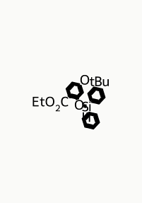 CCOC(=O)c1ccc(OC(C)(C)C)cc1O[SiH](c1ccccc1)c1ccccc1